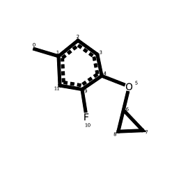 Cc1ccc(OC2CC2)c(F)c1